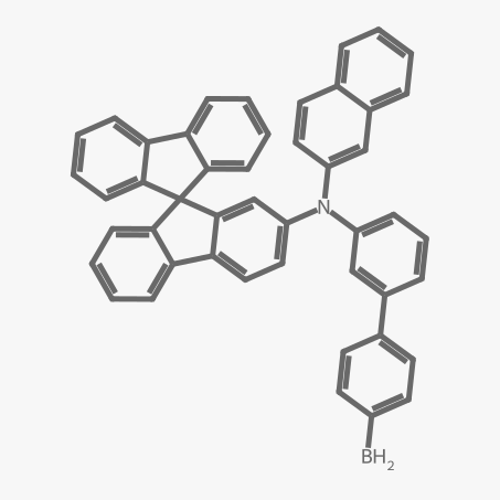 Bc1ccc(-c2cccc(N(c3ccc4c(c3)C3(c5ccccc5-c5ccccc53)c3ccccc3-4)c3ccc4ccccc4c3)c2)cc1